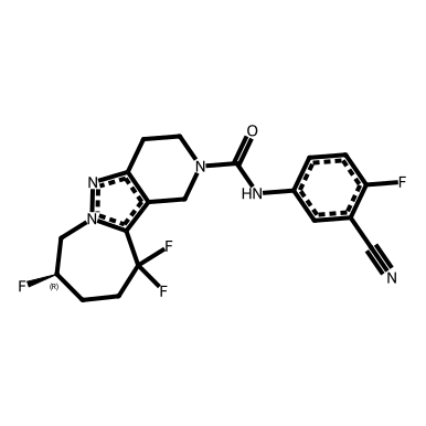 N#Cc1cc(NC(=O)N2CCc3nn4c(c3C2)C(F)(F)CC[C@@H](F)C4)ccc1F